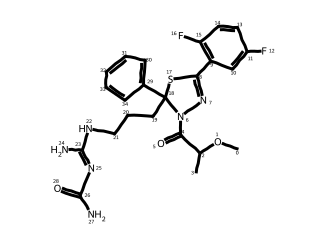 COC(C)C(=O)N1N=C(c2cc(F)ccc2F)SC1(CCCNC(N)=NC(N)=O)c1ccccc1